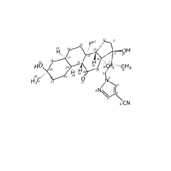 C[C@H](Cn1cc(C#N)cn1)[C@@]1(O)CC[C@H]2[C@@H]3CC[C@@H]4C[C@](C)(O)CC[C@@H]4[C@H]3C(=O)C[C@@]21C